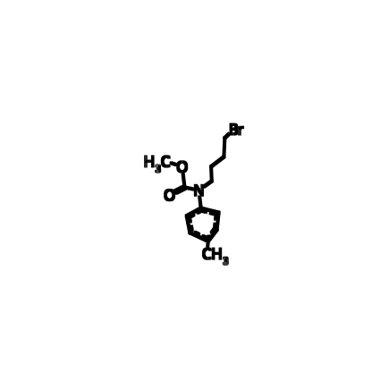 COC(=O)N(CCCCBr)c1ccc(C)cc1